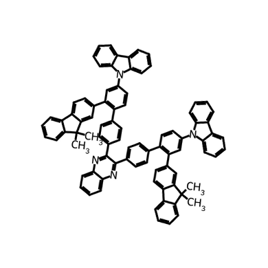 CC1(C)c2ccccc2-c2ccc(-c3cc(-n4c5ccccc5c5ccccc54)ccc3-c3ccc(-c4nc5ccccc5nc4-c4ccc(-c5ccc(-n6c7ccccc7c7ccccc76)cc5-c5ccc6c(c5)C(C)(C)c5ccccc5-6)cc4)cc3)cc21